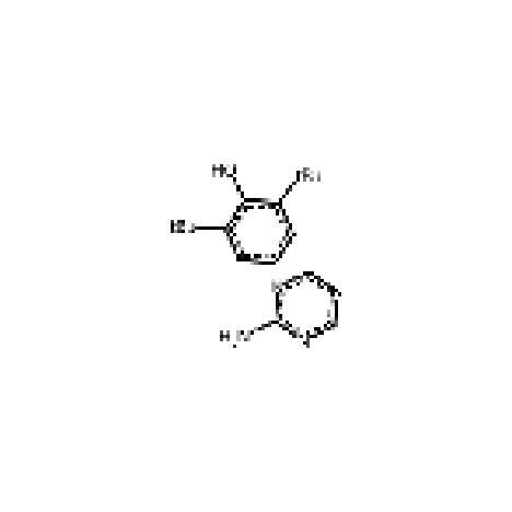 CC(C)(C)c1cccc(C(C)(C)C)c1O.Nc1ncncn1